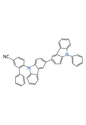 N#Cc1ccc(-n2c3ccccc3c3cc(-c4ccc5c(c4)c4ccccc4n5-c4ccccc4)ccc32)c(-c2ccccc2)c1